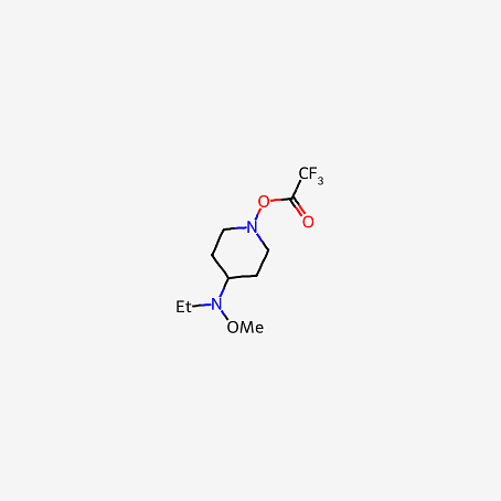 CCN(OC)C1CCN(OC(=O)C(F)(F)F)CC1